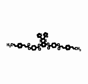 CCCc1ccc(CCC(=O)OC2CCC(C(=O)Oc3ccc(OC(=O)C4CCC(OC(=O)CCc5ccc(CCC)cc5)CC4)c4nc(-c5cccs5)c(-c5cccs5)nc34)CC2)cc1